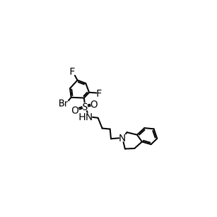 O=S(=O)(NCCCCN1CCc2ccccc2C1)c1c(F)cc(F)cc1Br